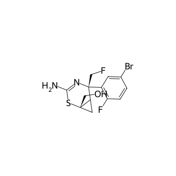 NC1=N[C@](CF)(c2cc(Br)ccc2F)C2C[C@]2(CO)S1